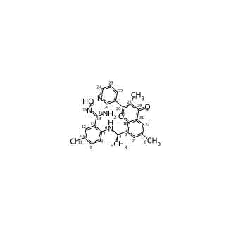 Cc1cc([C@@H](C)Nc2ccc(Cl)cc2/C(N)=N/O)c2oc(-c3cccnc3)c(C)c(=O)c2c1